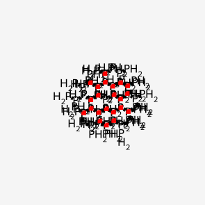 PP(P)P(P(P)P)P(P(P)P)P(P(P(P(P)P)P(P)P)P(P(P)P)P(P)P)P(P(P(P(P(P)P)P(P)P)P(P(P)P)P(P)P)P(P(P(P)P)P(P)P)P(P(P)P)P(P)P)P(P(P(P(P)P)P(P)P)P(P(P)P)P(P)P)P(P(P(P)P)P(P)P)P(P(P)P)P(P)P